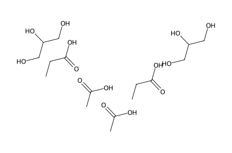 CC(=O)O.CC(=O)O.CCC(=O)O.CCC(=O)O.OCC(O)CO.OCC(O)CO